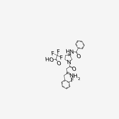 N[C@@H](CC(=O)N1CC[C@@H](NC(=O)c2ccccc2)C1)Cc1ccccc1F.O=C(O)C(F)(F)F